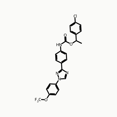 CC(OC(=O)Nc1ccc(-c2ncn(-c3ccc(OC(F)(F)F)cc3)n2)cc1)c1ccc(Cl)cc1